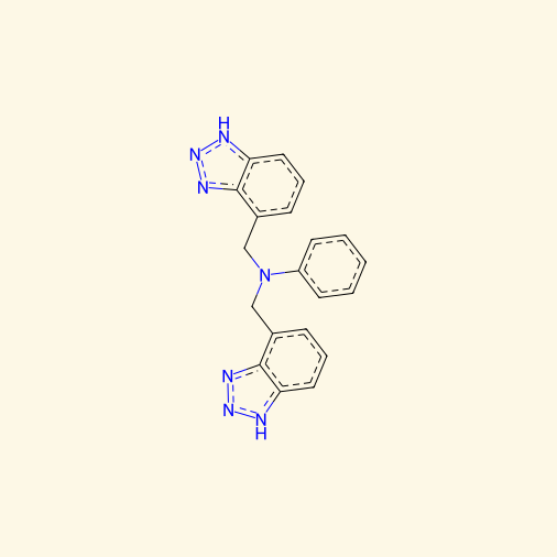 c1ccc(N(Cc2cccc3[nH]nnc23)Cc2cccc3[nH]nnc23)cc1